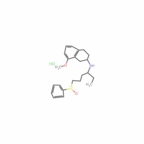 CCC(CCC[S+]([O-])c1ccccc1)NC1CCc2cccc(OC)c2C1.Cl